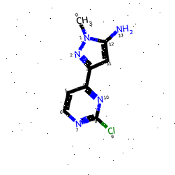 Cn1nc(-c2ccnc(Cl)n2)cc1N